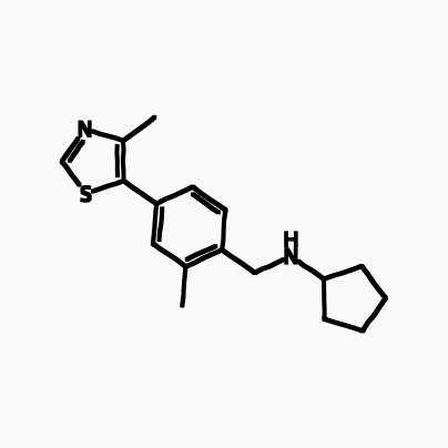 Cc1cc(-c2scnc2C)ccc1CNC1CCCC1